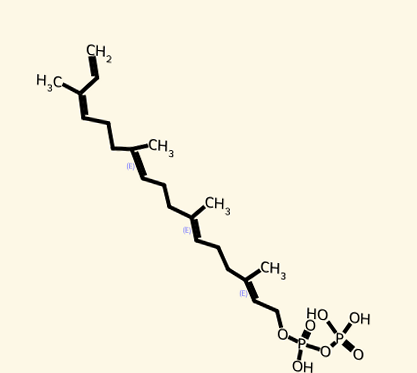 C=CC(C)=CCC/C(C)=C/CC/C(C)=C/CC/C(C)=C/COP(=O)(O)OP(=O)(O)O